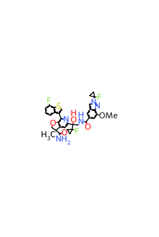 COc1cc(C(=O)NCC(O)(c2cc3c(c(-c4csc5c(F)cccc45)n2)OC[C@]3(C)C(N)=O)C2(F)CC2)cc2cn(C3(F)CC3)nc12